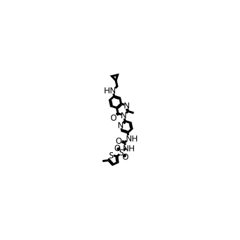 Cc1ccc(S(=O)(=O)NC(=O)Nc2ccc(-n3c(C)nc4cc(NCC5CC5)ccc4c3=O)nc2)s1